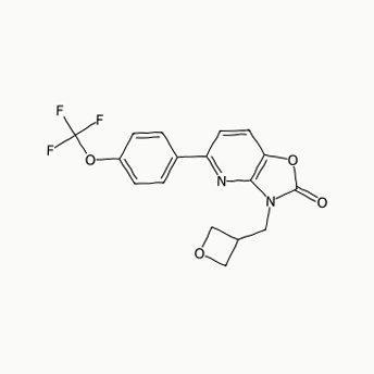 O=c1oc2ccc(-c3ccc(OC(F)(F)F)cc3)nc2n1CC1COC1